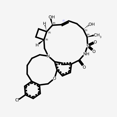 C[C@@H]1[C@@H](O)C/C=C/[C@H](O)[C@@H]2CC[C@H]2CN2CCCCc3cc(Cl)ccc3COc3ccc(cc32)C(=O)NS1(=O)=O